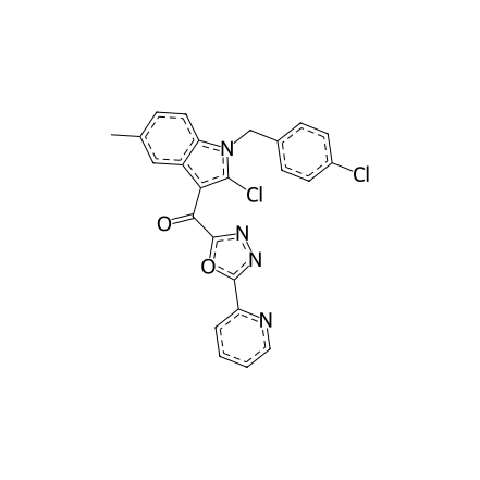 Cc1ccc2c(c1)c(C(=O)c1nnc(-c3ccccn3)o1)c(Cl)n2Cc1ccc(Cl)cc1